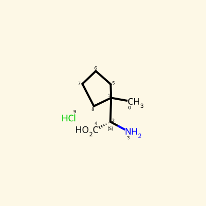 CC1([C@H](N)C(=O)O)CCCC1.Cl